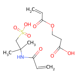 C=CC(=O)NC(C)(C)CS(=O)(=O)O.C=CC(=O)OCCC(=O)O